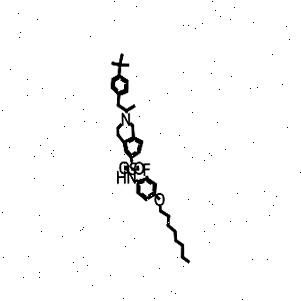 CCCCCCCCOc1ccc(NS(=O)(=O)c2ccc3c(c2)CCN(C(C)Cc2ccc(C(C)(C)C)cc2)C3)c(F)c1